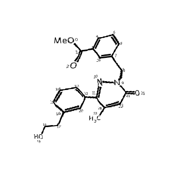 COC(=O)c1cccc(Cn2nc(-c3cccc(CCO)c3)c(C)cc2=O)c1